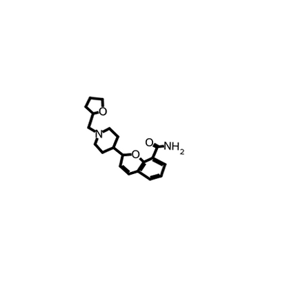 NC(=O)c1cccc2c1OC(C1CCN(CC3CCCO3)CC1)C=C2